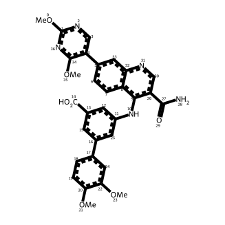 COc1ncc(-c2ccc3c(Nc4cc(C(=O)O)cc(-c5ccc(OC)c(OC)c5)c4)c(C(N)=O)cnc3c2)c(OC)n1